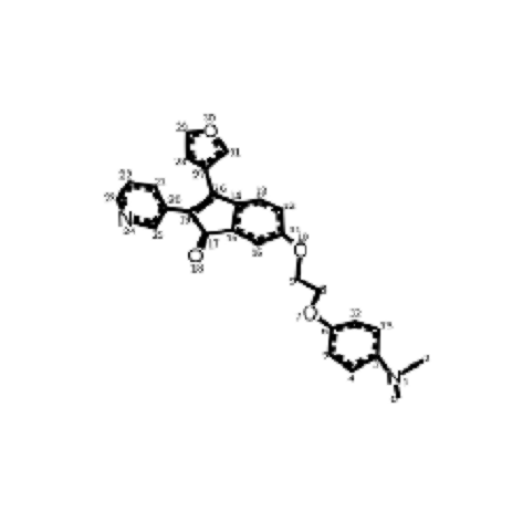 CN(C)c1ccc(OCCOc2ccc3c(c2)C(=O)C(c2cccnc2)=C3c2ccoc2)cc1